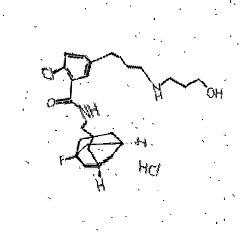 Cl.O=C(NCC12C[C@@H]3C[C@@H](CC(F)(C3)C1)C2)c1cc(CCCNCCCO)ccc1Cl